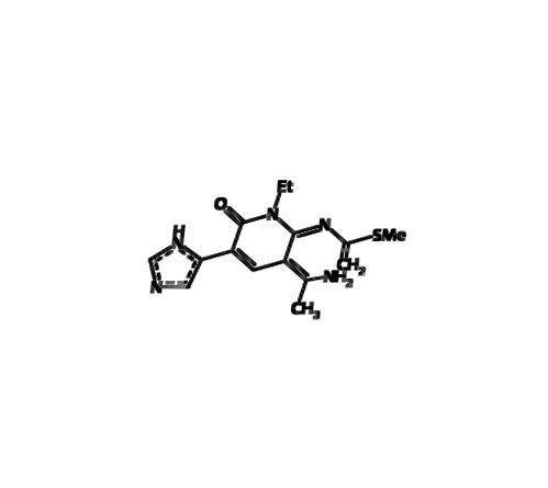 C=C(/N=C1\C(=C(\C)N)C=C(c2cnc[nH]2)C(=O)N1CC)SC